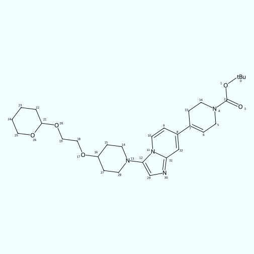 CC(C)(C)OC(=O)N1CC=C(c2ccn3c(N4CCC(OCCOC5CCCCO5)CC4)cnc3c2)CC1